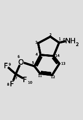 NC1CCc2c(OC(F)(F)F)cccc21